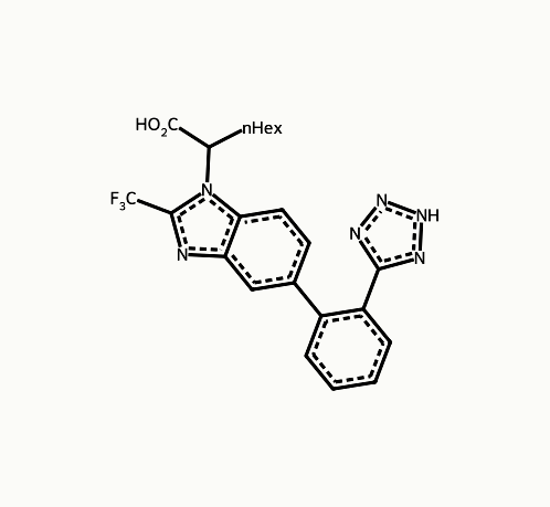 CCCCCCC(C(=O)O)n1c(C(F)(F)F)nc2cc(-c3ccccc3-c3nn[nH]n3)ccc21